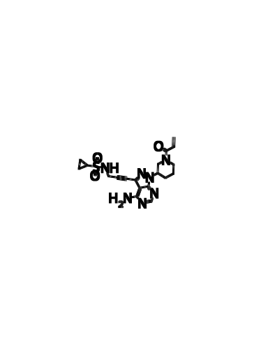 C=CC(=O)N1CCCC(n2nc(C#CCNS(=O)(=O)C3CC3)c3c(N)ncnc32)C1